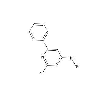 CC(C)Nc1cc(Cl)nc(-c2ccccc2)c1